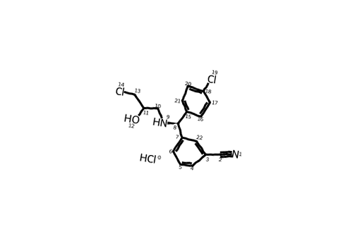 Cl.N#Cc1cccc([C@@H](NCC(O)CCl)c2ccc(Cl)cc2)c1